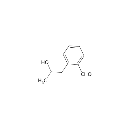 CC(O)Cc1ccccc1C=O